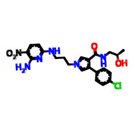 C[C@@H](O)CNC(=O)c1cn(CCCNc2ccc([N+](=O)[O-])c(N)n2)cc1-c1ccc(Cl)cc1